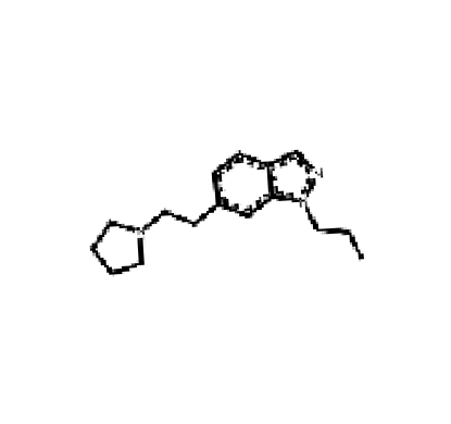 CCCn1ncc2ccc(CCN3CCCC3)cc21